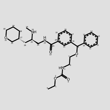 CCOC(=O)NCCOC(c1ccccc1)c1cccc(C(=O)NC[C@@H](C[C@H]2CCCOC2)NC)c1